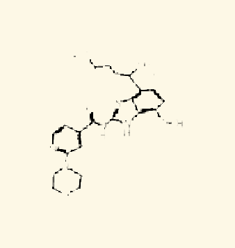 CCCCC(C)c1ccc(OC)c2[nH]c(NC(=O)c3ccnc(N4CCOCC4)c3)nc12